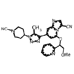 COCC(Oc1cc(-c2nnn(C3CCN(C#N)CC3)c2C)cc2ncc(C#N)n12)c1ccccn1